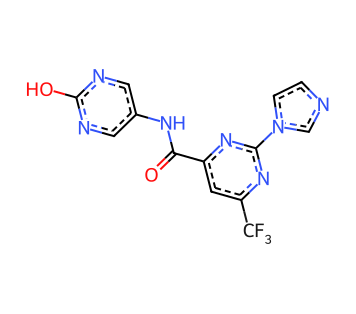 O=C(Nc1cnc(O)nc1)c1cc(C(F)(F)F)nc(-n2ccnc2)n1